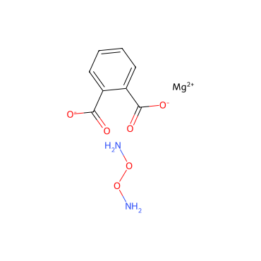 NOON.O=C([O-])c1ccccc1C(=O)[O-].[Mg+2]